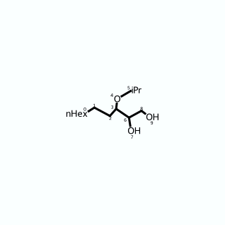 CCCCCCCCC(OC(C)C)C(O)CO